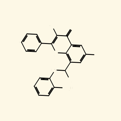 CC(=O)c1c(-c2ccccc2)oc2c(C(C)Nc3ccccc3C(=O)O)cc(C)cc2c1=O